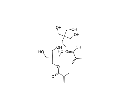 C=C(C)C(=O)O.C=C(C)C(=O)OCC(CO)(CO)CO.CCC(CO)(CO)CO